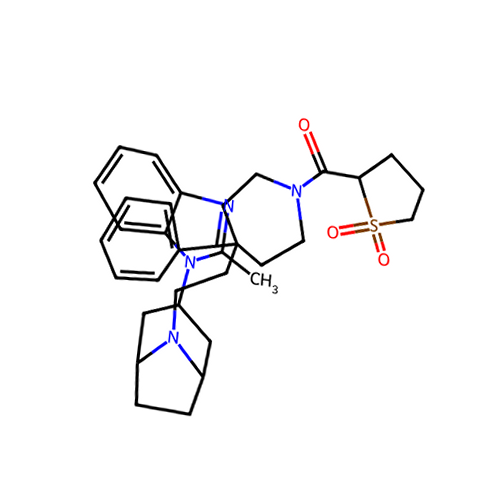 Cc1nc2ccccc2n1C1CC2CCC(C1)N2CCC1(c2ccccc2)CCN(C(=O)C2CCCS2(=O)=O)CC1